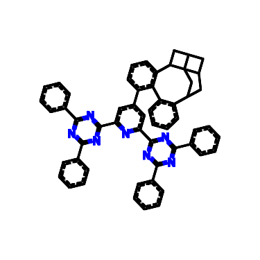 c1ccc(-c2nc(-c3ccccc3)nc(-c3cc(-c4cccc5c4-c4ccccc4C4CC6CC7CC5C67C4)cc(-c4nc(-c5ccccc5)nc(-c5ccccc5)n4)n3)n2)cc1